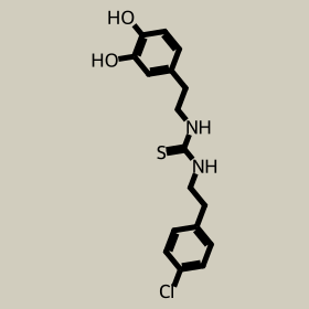 Oc1ccc(CCNC(=S)NCCc2ccc(Cl)cc2)cc1O